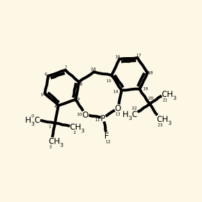 CC(C)(C)c1cccc2c1OP(F)Oc1c(cccc1C(C)(C)C)C2